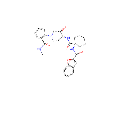 CNC(=O)c1ccccc1N1CCC(NC(=O)C2(NC(=O)c3cc4ccccc4o3)CCCCC2)C(=O)C1